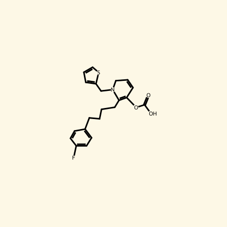 O=C(O)OC1=C(CCCCc2ccc(F)cc2)N(Cc2cccs2)CC=C1